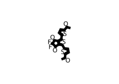 CC(=O)c1ccc(-c2sc(-c3ccc(C(C)=O)s3)c3c2C(=O)C(F)(F)C3=O)s1